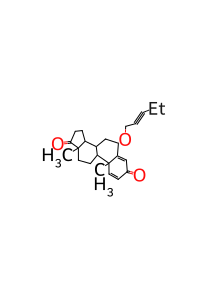 CCC#CCOC1CC2C(CCC3(C)C(=O)CCC23)C2(C)C=CC(=O)C=C12